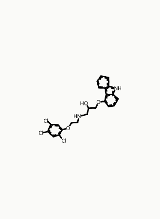 OC(CNCCOc1cc(Cl)c(Cl)cc1Cl)COc1cccc2[nH]c3ccccc3c12